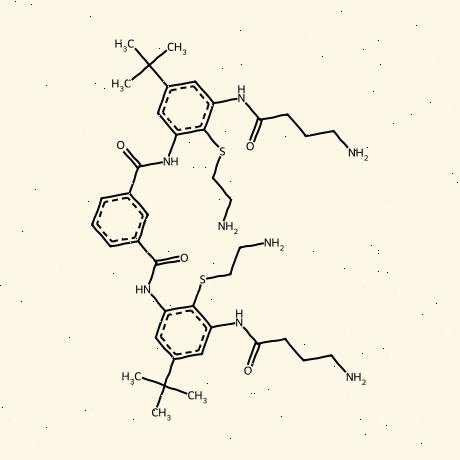 CC(C)(C)c1cc(NC(=O)CCCN)c(SCCN)c(NC(=O)c2cccc(C(=O)Nc3cc(C(C)(C)C)cc(NC(=O)CCCN)c3SCCN)c2)c1